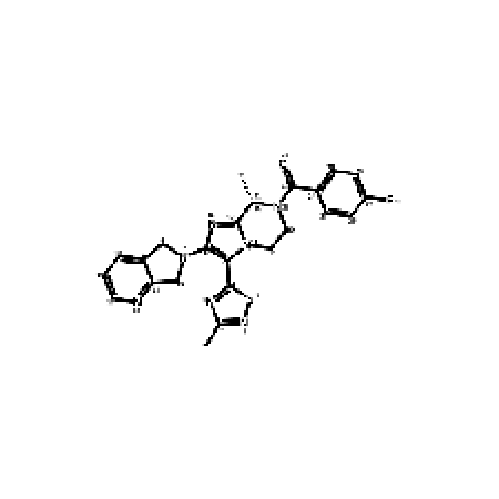 Cc1nsc(-c2c(N3Cc4cccnc4C3)nc3n2CCN(C(=O)c2ccc(F)cc2)[C@H]3C)n1